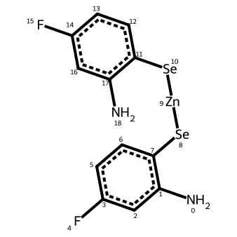 Nc1cc(F)ccc1[Se][Zn][Se]c1ccc(F)cc1N